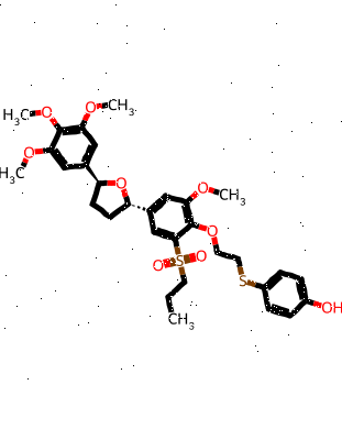 CCCS(=O)(=O)c1cc([C@@H]2CC[C@@H](c3cc(OC)c(OC)c(OC)c3)O2)cc(OC)c1OCCSc1ccc(O)cc1